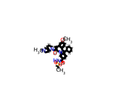 CCCS(=O)(=O)NC(=O)c1ccc2c(C3CCCCC3)c3n(c2c1)CC1(C(=O)N2CCCC4(CCN(C)C4)C2)CC1c1cc(OC)ccc1-3